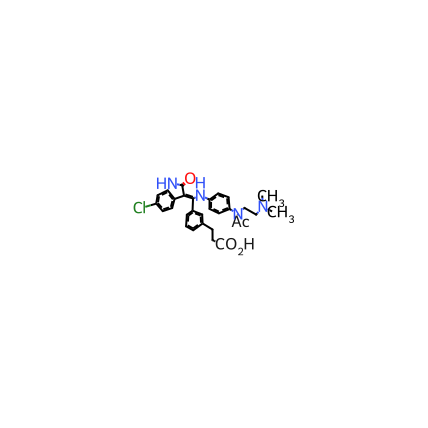 CC(=O)N(CCN(C)C)c1ccc(N/C(=C2\C(=O)Nc3cc(Cl)ccc32)c2cccc(CCC(=O)O)c2)cc1